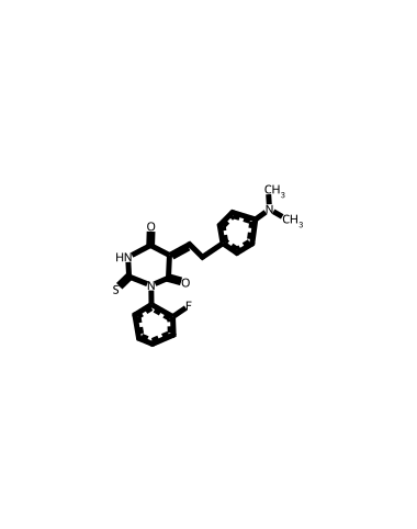 CN(C)c1ccc(CC=C2C(=O)NC(=S)N(c3ccccc3F)C2=O)cc1